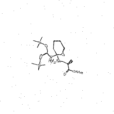 C=C([SiH2]C1([SiH2]C(O[Si](C)(C)C)O[Si](C)(C)C)CCCCO1)C(=O)OC